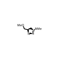 CNn1cc(COC)nn1